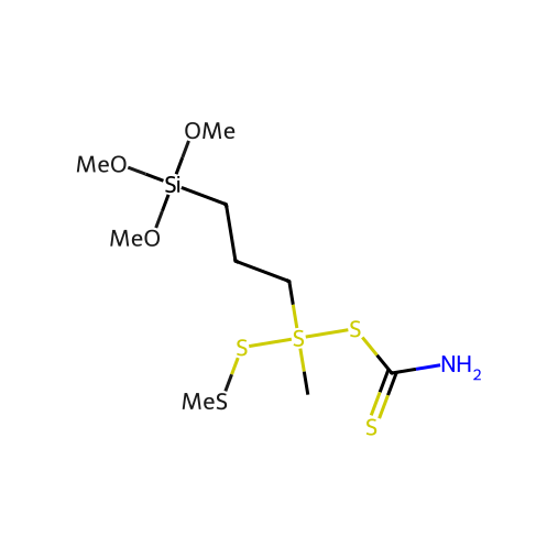 CO[Si](CCCS(C)(SSC)SC(N)=S)(OC)OC